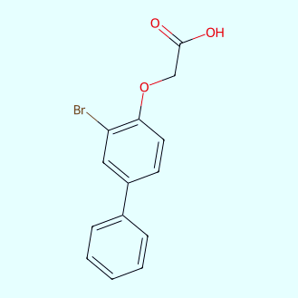 O=C(O)COc1ccc(-c2ccccc2)cc1Br